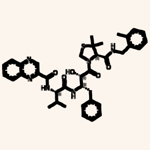 Cc1ccccc1CNC(=O)[C@H]1N(C(=O)[C@@H](O)[C@H](Cc2ccccc2)NC(=O)[C@@H](NC(=O)c2cnc3ccccc3n2)C(C)C)CSC1(C)C